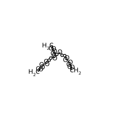 C=CC(=O)OCOC(=O)CCC(=O)Oc1ccc2cc(C(=O)Oc3ccc(C(=O)c4ccc5cc(OC(=O)CCC(=O)OCOC(=O)C=C)ccc5c4)cc3C(=O)OCOC(=O)C=C)ccc2c1